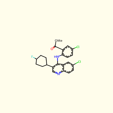 COC(=O)c1cc(Cl)ccc1Nc1c(C2CCC(F)CC2)cnc2ccc(Cl)cc12